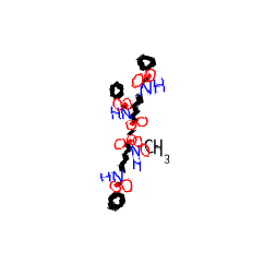 COC(=O)NC(CCCCNC(=O)Oc1ccccc1)C(=O)OCCOC(=O)C(CCCCNC(=O)Oc1ccccc1)NC(=O)Oc1ccccc1